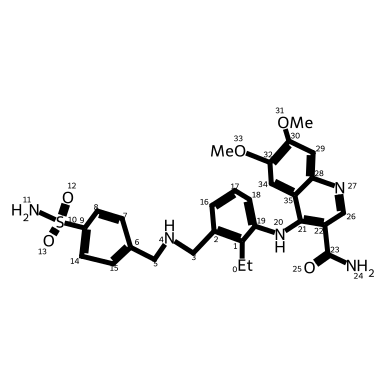 CCc1c(CNCc2ccc(S(N)(=O)=O)cc2)cccc1Nc1c(C(N)=O)cnc2cc(OC)c(OC)cc12